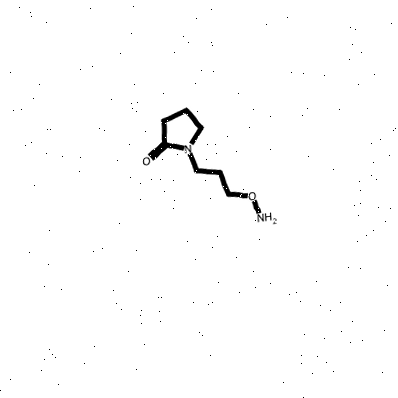 NOCCCN1CCCC1=O